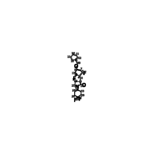 O=C1C(Cc2c(F)cc(OCc3ccccc3)cc2F)CCN1C1CCC(F)(F)CC1